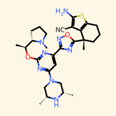 C[C@@H]1CN(c2cc(-c3noc([C@@]4(C)CCCc5sc(N)c(C#N)c54)n3)nc(O[C@@H](C)[C@@H]3CCCN3C)n2)C[C@H](C)N1